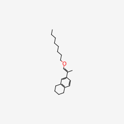 CCCCCCCCOC=C(C)c1ccc2c(c1)CCCC2